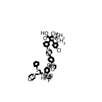 Cc1c(C(=O)O)c(-c2cccc(N3CCN(c4ccc(N5CCO[P@@]5(=O)c5ccc(N[C@H](CCN6CCOCC6)CSc6ccccc6)c(S(=O)(=O)C(F)(F)F)c5)cc4)CC3)c2)c(-c2ccc(Cl)cc2)n1C(C)C